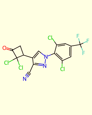 N#Cc1nn(-c2c(Cl)cc(C(F)(F)F)cc2Cl)cc1C1CC(=O)C1(Cl)Cl